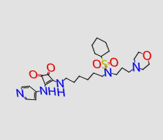 O=c1c(NCCCCCCN(CCCN2CCOCC2)S(=O)(=O)C2CCCCC2)c(Nc2ccncc2)c1=O